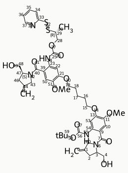 C=C1CC(CO)N(C(=O)c2cc(OC)c(OCCCCCOc3cc(NC(=O)OC[C@@H](C)SSc4ccccn4)c(C(=O)N4CC(=C)C[C@H]4CO)cc3OC)cc2NC(=O)OC(C)(C)C)C1